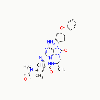 CC(Cn1c(=O)n(-c2ccc(Oc3ccccc3)cc2)c2c(N)ncnc21)NC(=O)C(C#N)=CC(C)(C)N(C)C1COC1